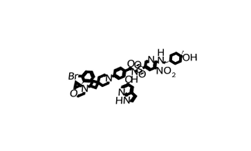 C[C@]1(O)CC[C@H](CNc2ncc(S(=O)(=O)NC(=O)c3ccc(N4CCC5(CC4)CC(N4CCOC6C[C@]64c4ccccc4Br)C5)cc3Oc3cnc4[nH]ccc4c3)cc2[N+](=O)[O-])CC1